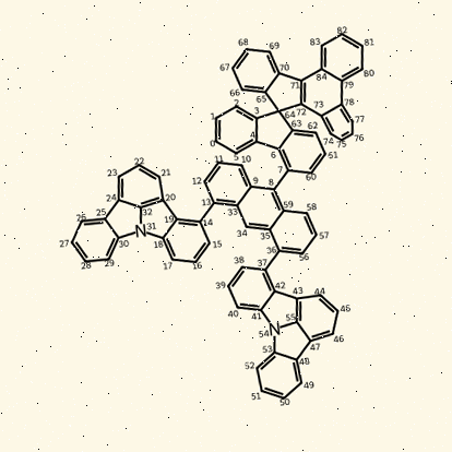 c1ccc2c(c1)-c1c(-c3c4cccc(-c5cccc6c5c5cccc7c8ccccc8n6c75)c4cc4c(-c5cccc6c5c5cccc7c8ccccc8n6c75)cccc34)cccc1C21c2ccccc2-c2c1c1ccccc1c1ccccc21